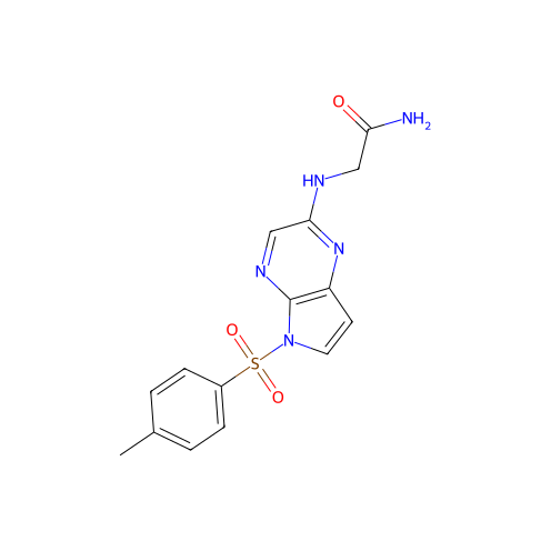 Cc1ccc(S(=O)(=O)n2ccc3nc(NCC(N)=O)cnc32)cc1